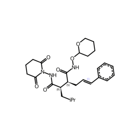 CC(C)C[C@@H](C(=O)NN1C(=O)CCCC1=O)[C@H](C/C=C/c1ccccc1)C(=O)NOC1CCCCO1